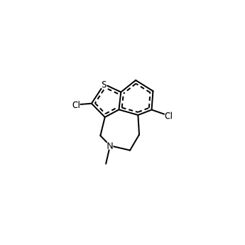 CN1CCc2c(Cl)ccc3sc(Cl)c(c23)C1